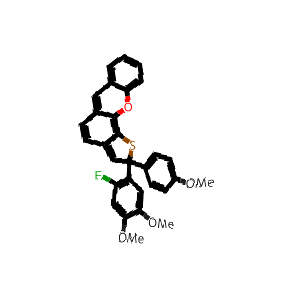 COc1ccc(C2(c3cc(OC)c(OC)cc3F)C=c3ccc4c(c3S2)Oc2ccccc2C=4)cc1